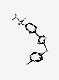 CN(C)S(=O)(=O)c1ccc(-c2csc(Nc3ccc(Cl)cc3)n2)cc1